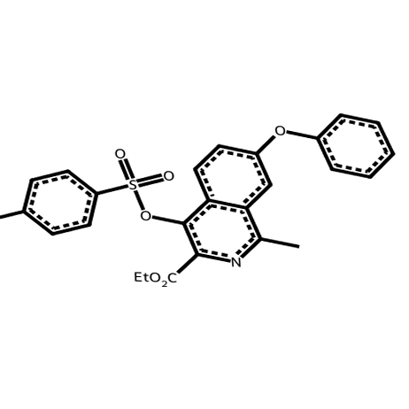 CCOC(=O)c1nc(C)c2cc(Oc3ccccc3)ccc2c1OS(=O)(=O)c1ccc(C)cc1